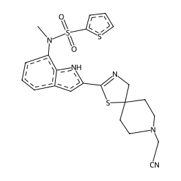 CN(c1cccc2cc(C3=NCC4(CCN(CC#N)CC4)S3)[nH]c12)S(=O)(=O)c1cccs1